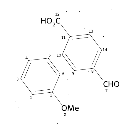 COc1ccccc1.O=Cc1ccc(C(=O)O)cc1